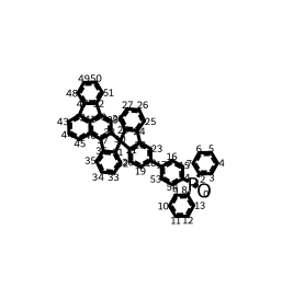 O=P(c1ccccc1)(c1ccccc1)c1ccc(-c2ccc3c(c2)-c2ccccc2C32c3ccccc3-c3c2cc2c4c(cccc34)-c3ccccc3-2)cc1